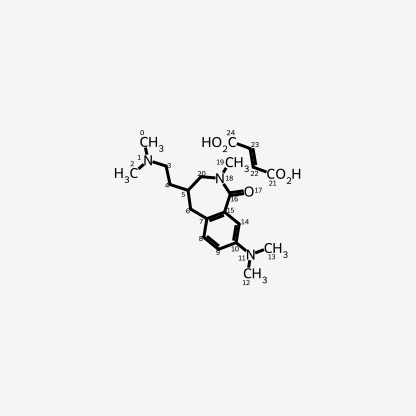 CN(C)CCC1Cc2ccc(N(C)C)cc2C(=O)N(C)C1.O=C(O)C=CC(=O)O